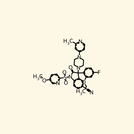 CCOc1cc(F)ccc1C1(N2CCN(c3ccnc(C)c3)CC2)C(=O)N(S(=O)(=O)c2ccc(OC)cn2)c2ccc(C#N)cc21